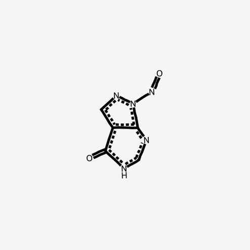 O=Nn1ncc2c(=O)[nH]cnc21